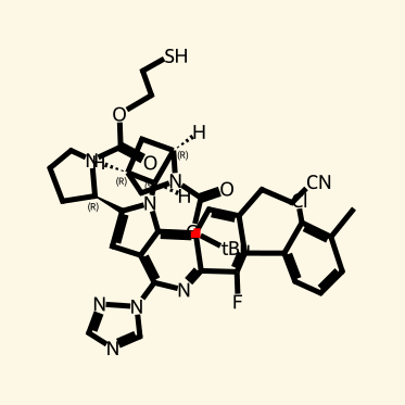 Cc1cccc(-c2c(CCC#N)cc3c(nc(-n4cncn4)c4cc([C@H]5CCCN5C(=O)OCCS)n([C@H]5[C@@H]6C[C@H]5N(C(=O)OC(C)(C)C)C6)c43)c2F)c1Cl